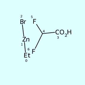 C[CH2][Zn][Br].O=C(O)C(F)F